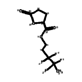 CC(F)(F)C(F)(F)CCOC(=O)C1CCC(=O)O1